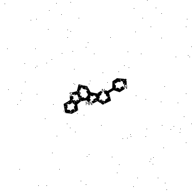 c1cncc(-c2ccc3[nH]c4c(ccc5sc6ccccc6c54)c3n2)c1